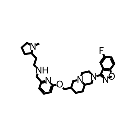 CN1CCCC1CCNCc1cccc(OCC2CCC3CN(c4noc5ccc(F)cc45)CCN3C2)n1